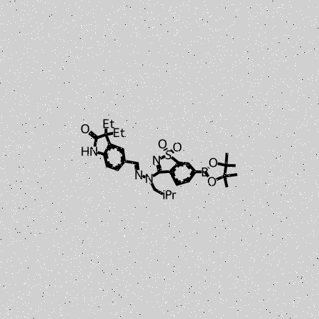 CCC1(CC)C(=O)Nc2ccc(/C=N/N(CC(C)C)C3=NS(=O)(=O)c4cc(B5OC(C)(C)C(C)(C)O5)ccc43)cc21